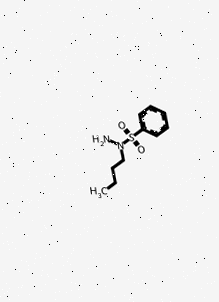 CCCCN(N)S(=O)(=O)c1ccccc1